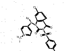 CC(=O)N(c1cc[n+](C)cc1)n1c(=O)n(S(=O)(=O)c2ccc(Cl)cc2)c(=O)c2ccc(Cl)cc21.[I-]